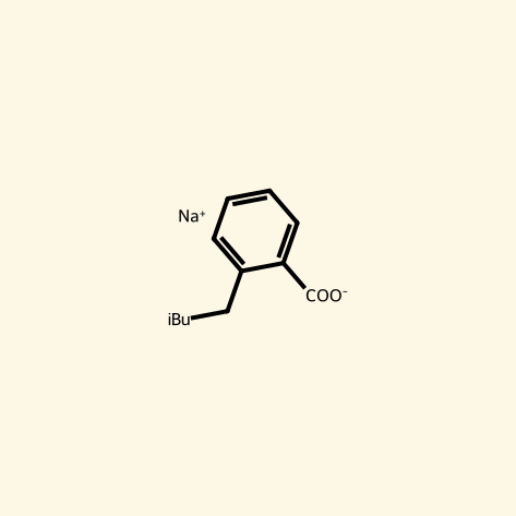 CCC(C)Cc1ccccc1C(=O)[O-].[Na+]